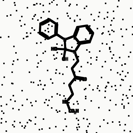 O=C(CCNC(=O)O)CCN1c2ccccc2N(c2ccccc2)S1(O)O